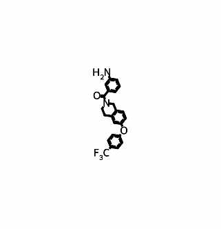 Nc1cccc(C(=O)N2CCc3cc(Oc4ccc(C(F)(F)F)cc4)ccc3C2)c1